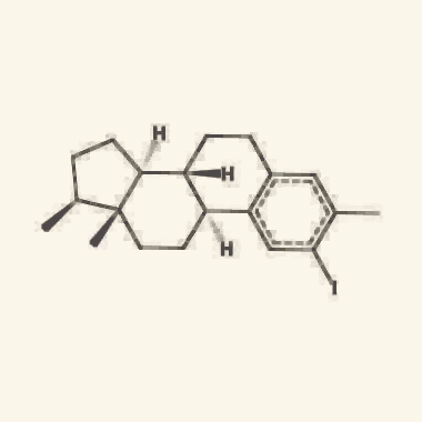 Cc1cc2c(cc1I)[C@H]1CC[C@]3(C)[C@@H](C)CC[C@H]3[C@@H]1CC2